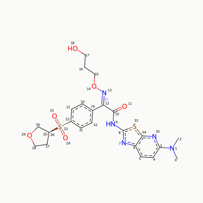 CN(C)c1ccc2nc(NC(=O)/C(=N/OCCCO)c3ccc(S(=O)(=O)[C@H]4CCOC4)cc3)sc2n1